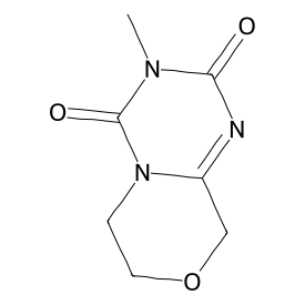 Cn1c(=O)nc2n(c1=O)CCOC2